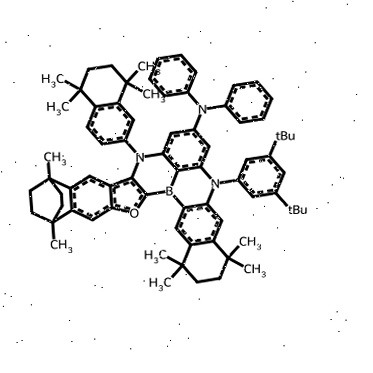 CC(C)(C)c1cc(N2c3cc4c(cc3B3c5oc6cc7c(cc6c5N(c5ccc6c(c5)C(C)(C)CCC6(C)C)c5cc(N(c6ccccc6)c6ccccc6)cc2c53)C2(C)CCC7(C)CC2)C(C)(C)CCC4(C)C)cc(C(C)(C)C)c1